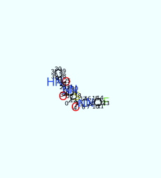 Cc1c(C(=O)N2CCN(c3ccc(F)cc3)CC2)sc2ncn(CC(=O)NC3CCCCC3)c(=O)c12